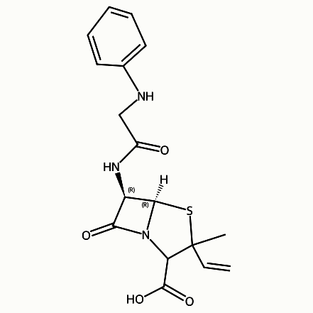 C=CC1(C)S[C@@H]2[C@H](NC(=O)CNc3ccccc3)C(=O)N2C1C(=O)O